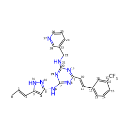 C/C=C/c1cc(Nc2nc(/C=C/c3cccc(C(F)(F)F)c3)nc(NCc3cccnc3)n2)n[nH]1